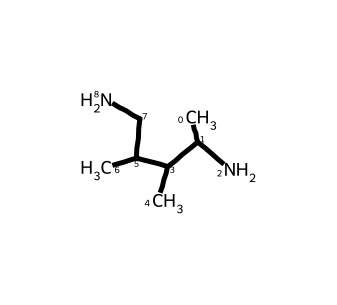 CC(N)C(C)C(C)CN